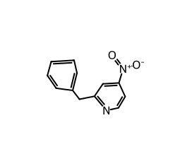 O=[N+]([O-])c1ccnc(Cc2ccccc2)c1